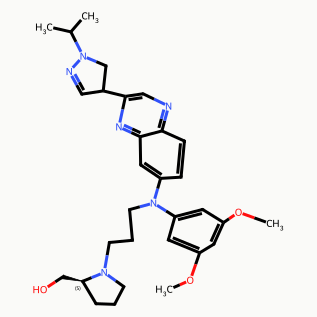 COc1cc(OC)cc(N(CCCN2CCC[C@H]2CO)c2ccc3ncc(C4C=NN(C(C)C)C4)nc3c2)c1